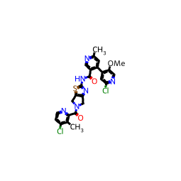 COc1cnc(Cl)cc1-c1cc(C)ncc1C(=O)Nc1nc2c(s1)CN(C(=O)c1nccc(Cl)c1C)C2